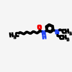 CCCCCCCC(=O)Nc1cccc(N(CC)CC)c1